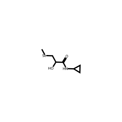 C[Se]CC(O)C(=O)NC1CC1